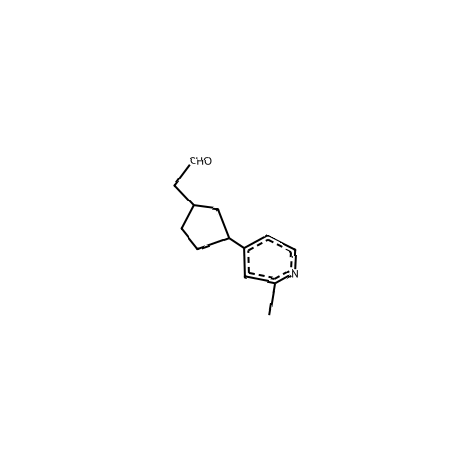 Cc1cc(C2CCC(CC=O)C2)ccn1